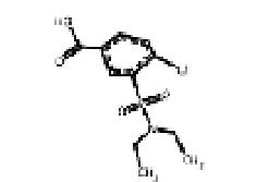 CCN(CC)S(=O)(=O)c1cc(C(=O)O)ccc1Cl